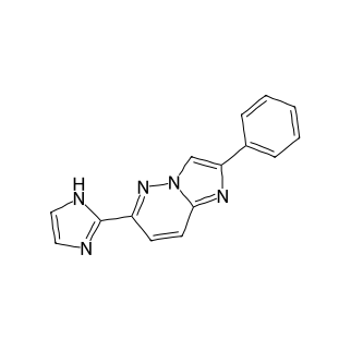 c1ccc(-c2cn3nc(-c4ncc[nH]4)ccc3n2)cc1